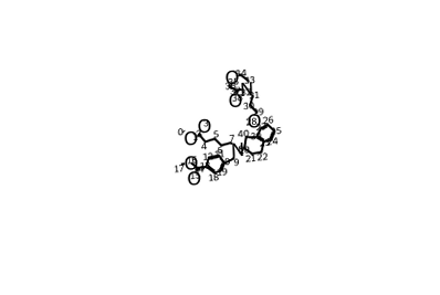 COC(=O)CCCCN(Cc1ccc(C(=O)OC)cc1)C1CCc2cccc(OCCCN3CCOCC3=O)c2C1